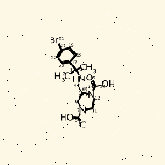 CC(C)(NC[C@@H]1CN(C(=O)O)CCN1C(=O)O)c1ccc(Br)cc1